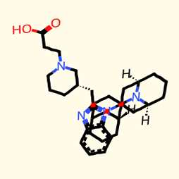 O=C(O)CCN1CCC[C@@H](Cc2nc3ccccc3n2C2C[C@H]3CCC[C@@H](C2)N3C2CCC3CCC[C@@H]2C3)C1